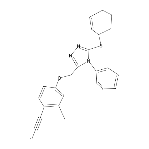 [CH2]C#Cc1ccc(OCc2nnc(SC3C=CCCC3)n2-c2cccnc2)cc1C